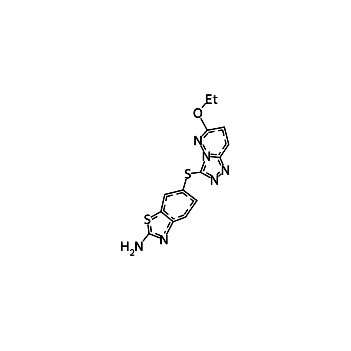 CCOc1ccc2nnc(Sc3ccc4nc(N)sc4c3)n2n1